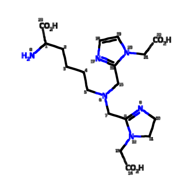 NC(CCCCN(CC1=NCCN1CC(=O)O)Cc1nccn1CC(=O)O)C(=O)O